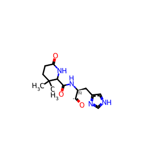 CC1(C)CCC(=O)NC1C(=O)N[C@H]([C]=O)Cc1c[nH]cn1